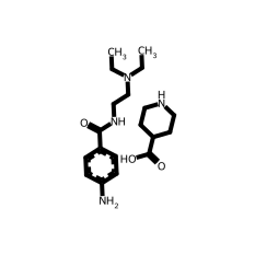 CCN(CC)CCNC(=O)c1ccc(N)cc1.O=C(O)C1CCNCC1